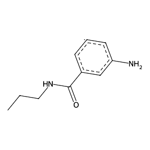 CCCNC(=O)c1c[c]cc(N)c1